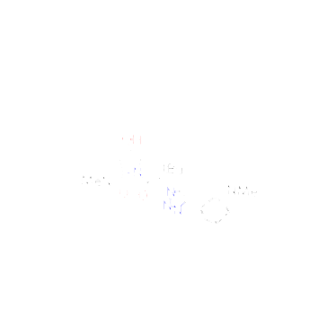 CNC(=O)C1CC(O)CN1C(=O)[C@@H](n1cc(-c2cccc(NC)c2)nn1)C(C)(C)C